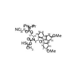 COc1ccc(C(OCCN(CCOP(OCCC#N)N(C(C)C)C(C)C)C(=O)OC(C)S)(c2ccccc2)c2ccc(OC)cc2)cc1